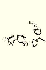 Cc1ccc(C(=O)N2CC[C@H](Oc3cccc(-c4noc(C(F)(F)F)n4)c3)C2)cc1